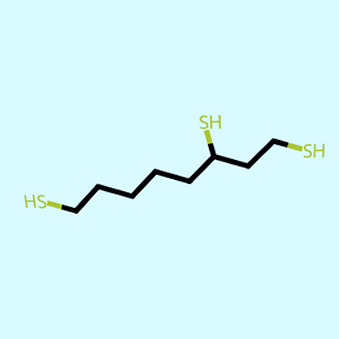 SCCCCCC(S)CCS